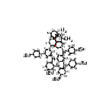 CC(C)(C)c1ccc(-c2cc(-c3ccc(C(C)(C)C)cc3)cc(N3c4ccc(C(C)(C)C)cc4B4c5cc(C(C)(C)C)ccc5N(c5ccc(C(C)(C)C)cc5)c5cc(N(c6ccc(C(C)(C)C)cc6)c6ccc7c(c6)C(C)(C)c6ccccc6-7)cc3c54)c2)cc1